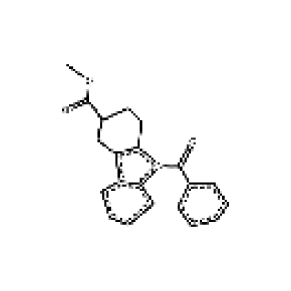 COC(=O)C1CCc2c(c3ccccc3n2C(=O)c2ccccc2)C1